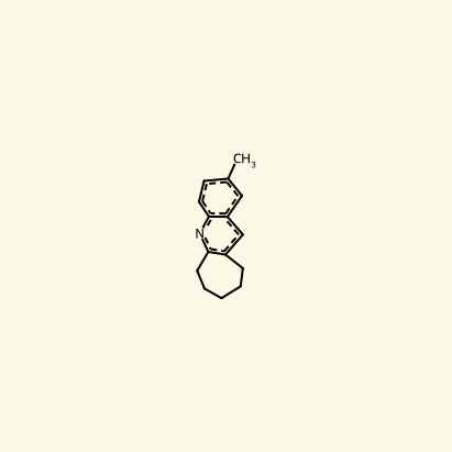 Cc1ccc2nc3c(cc2c1)CCCCC3